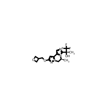 C[C@H]1Cn2nc(OCC3COC3)cc2-c2cnc([C@@](C)(O)C(F)(F)F)n21